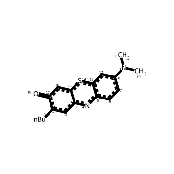 CCCCc1cc2nc3ccc(N(C)C)cc3sc-2cc1=O